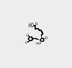 O=C(O)CCC/C=C\C[C@@H]1[C@@H](CCc2cc(Cl)cc(Cl)c2)[C@H](O)C[C@H]1Cl